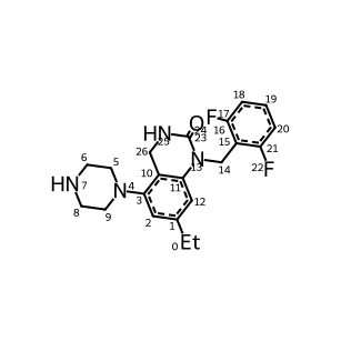 CCc1cc(N2CCNCC2)c2c(c1)N(Cc1c(F)cccc1F)C(=O)NC2